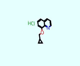 Cl.c1cnc2c(OCC3CC3)cccc2c1